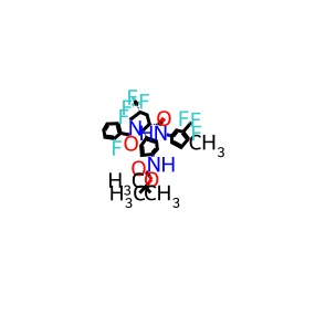 Cc1ccc(NC(=O)[C@H]2C[C@@H](C(F)(F)F)CN(C(=O)c3c(F)cccc3F)[C@H]2c2ccc(NC(=O)OC(C)(C)C)cc2)cc1C(F)(F)F